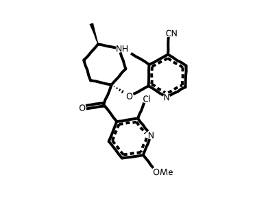 COc1ccc(C(=O)[C@@]2(Oc3nccc(C#N)c3C)CC[C@@H](C)NC2)c(Cl)n1